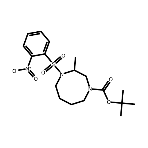 CC1CN(C(=O)OC(C)(C)C)CCCCN1S(=O)(=O)c1ccccc1[N+](=O)[O-]